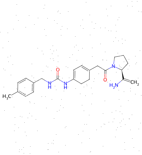 C=C(N)[C@@H]1CCCN1C(=O)CC1=CC=C(NC(=O)NCc2ccc(C)cc2)CC1